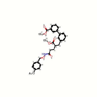 CC(=O)Oc1ccc(CONC(=O)CCC(Cc2cccc(-c3cccc(C(=O)OC(C)(C)C)c3)c2)C(=O)OC(C)(C)C)cc1